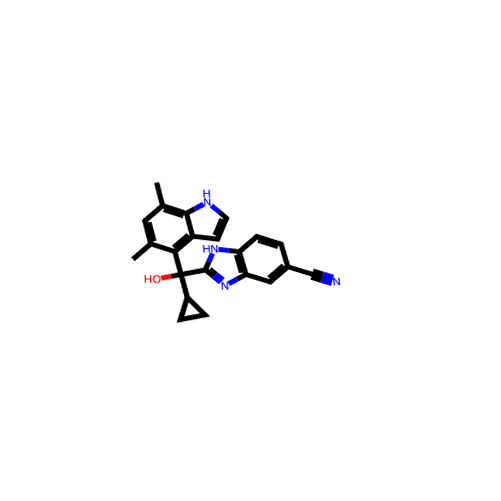 Cc1cc(C)c2[nH]ccc2c1C(O)(c1nc2cc(C#N)ccc2[nH]1)C1CC1